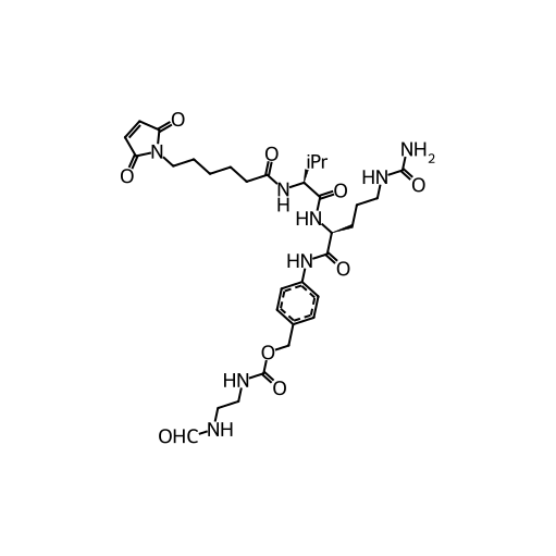 CC(C)[C@H](NC(=O)CCCCCN1C(=O)C=CC1=O)C(=O)N[C@@H](CCCNC(N)=O)C(=O)Nc1ccc(COC(=O)NCCNC=O)cc1